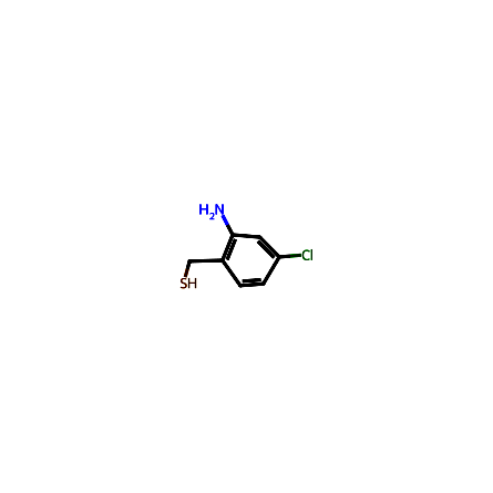 Nc1cc(Cl)ccc1CS